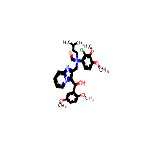 COc1ccc(OC)c(C(O)c2c(C[N+](C=O)(CCC(C)C)c3ccc(OC)c(OC)c3Cl)nc3ccccn23)c1